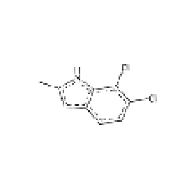 Cc1cc2ccc(Cl)c(Cl)c2[nH]1